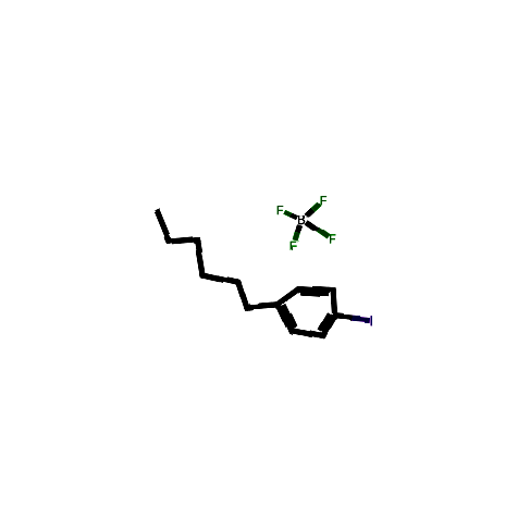 CCCCCCc1ccc(I)cc1.F[B-](F)(F)F